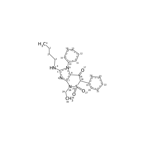 CCCCNc1nc2c(n1-c1ccccc1)C(=O)C(c1ccccc1)S(=O)(=O)N2CC